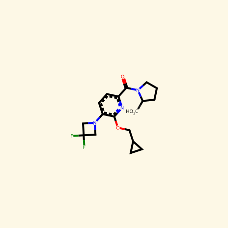 O=C(O)C1CCCN1C(=O)c1ccc(N2CC(F)(F)C2)c(OCC2CC2)n1